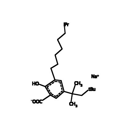 CC(C)CCCCCCc1cc(C(C)(C)CC(C)(C)C)cc(C(=O)[O-])c1O.[Na+]